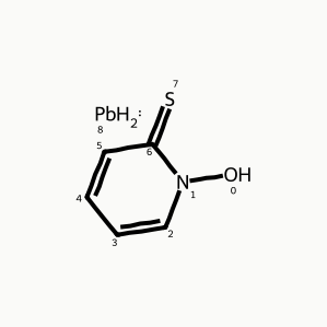 On1ccccc1=S.[PbH2]